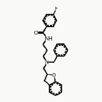 O=C(NCCCN(Cc1ccccc1)CC1Cc2ccccc2O1)c1ccc(F)cc1